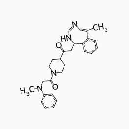 C/C1=C\N=C/NC(CC(=O)C2CCN(C(=O)CN(C)c3ccccc3)CC2)c2ccccc21